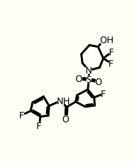 O=C(Nc1ccc(F)c(F)c1)c1ccc(F)c(S(=O)(=O)N2CCCC(O)C(F)(F)C2)c1